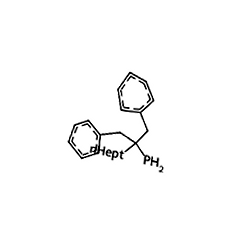 CCCCCCCC(P)(Cc1ccccc1)Cc1ccccc1